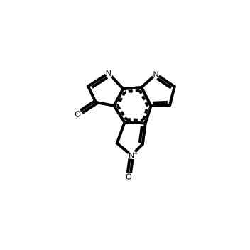 O=C1C=Nc2c1c1c(c3c2N=CC=3)=C[N+](=O)C1